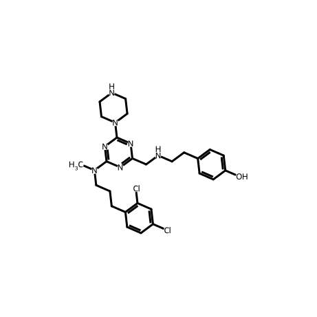 CN(CCCc1ccc(Cl)cc1Cl)c1nc(CNCCc2ccc(O)cc2)nc(N2CCNCC2)n1